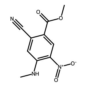 CNc1cc(C#N)c(C(=O)OC)cc1[N+](=O)[O-]